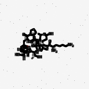 CC(C)C[C@H](NC(=O)[C@H](CCC(=O)O)NC(=O)[C@@H](N)CCCCN)C(=O)N[C@@H](Cc1ccc(O)cc1)C(=O)N1CCC[C@H]1C(=O)N[C@@H](CC(C)C)C(=O)N[C@H](C(=O)N[C@@H](CO)C(=O)O)[C@@H](C)O